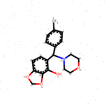 Oc1c(C(c2ccc(C(F)(F)F)cc2)N2CCOCC2)ccc2c1OCO2